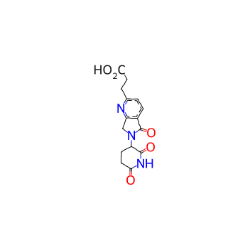 O=C(O)CCc1ccc2c(n1)CN(C1CCC(=O)NC1=O)C2=O